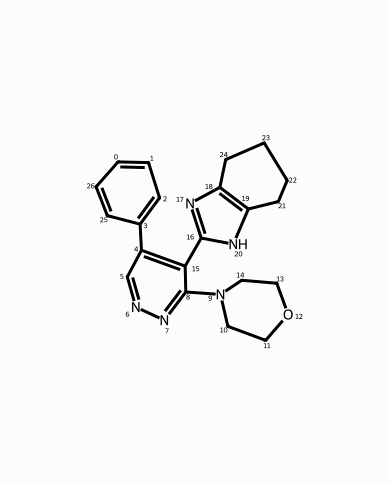 c1ccc(-c2cnnc(N3CCOCC3)c2-c2nc3c([nH]2)CCCC3)cc1